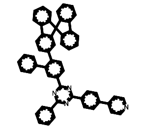 c1ccc(-c2nc(-c3ccc(-c4ccncc4)cc3)nc(-c3ccc(-c4ccc5c(c4)C4(c6ccccc6-c6ccccc64)c4ccccc4-5)c(-c4ccccc4)c3)n2)cc1